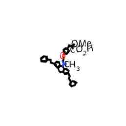 COC(Cc1ccc(OCCN(C)C2c3ccc(CCc4ccccc4)cc3CCc3cc(CCc4ccccc4)ccc32)cc1)C(=O)O